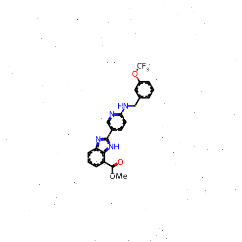 COC(=O)c1cccc2nc(-c3ccc(NCc4cccc(OC(F)(F)F)c4)nc3)[nH]c12